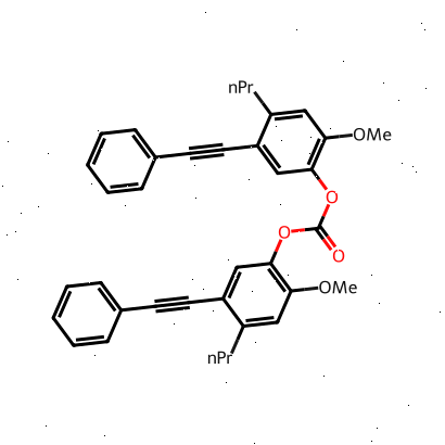 CCCc1cc(OC)c(OC(=O)Oc2cc(C#Cc3ccccc3)c(CCC)cc2OC)cc1C#Cc1ccccc1